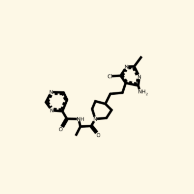 Cc1nc(N)c(CCC2CCN(C(=O)C(C)NC(=O)c3ccncn3)CC2)c(Cl)n1